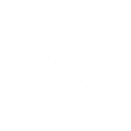 CCC1CC(N(Cc2cc(Cl)cc(C(F)(F)F)c2)c2ncc(OCc3ccccc3)cn2)CC(Cc2ccccc2)N1C(=O)OC(C)(C)C